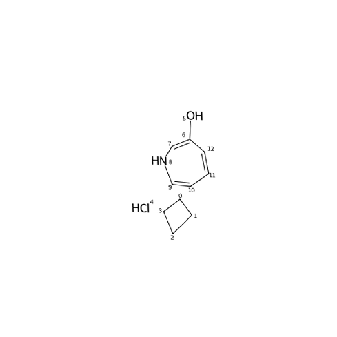 C1CCC1.Cl.OC1=CNC=CC=C1